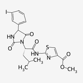 COC(=O)c1csc(NC(=O)[C@H](CC(C)C)N2C(=O)NC(c3cccc(I)c3)C2=O)n1